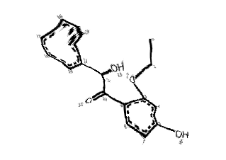 CCOc1cc(O)ccc1C(=O)C(O)c1ccccc1